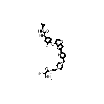 CC(C)[C@H](N)C(=O)OCCN1CCN(Cc2ccc(-c3cc4nccc(Oc5ccc(NC(=O)NC6CC6)cc5F)c4s3)nc2)CC1